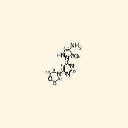 Nc1c[nH]n(-c2cc(N3CCOCC3)ncn2)c1=O